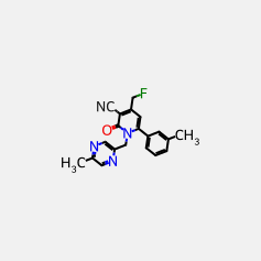 Cc1cccc(-c2cc(CF)c(C#N)c(=O)n2Cc2cnc(C)cn2)c1